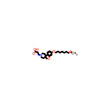 COCCCCCCCOc1ccc2c(c1)OCC21CCN(CCC(=O)O)CC1